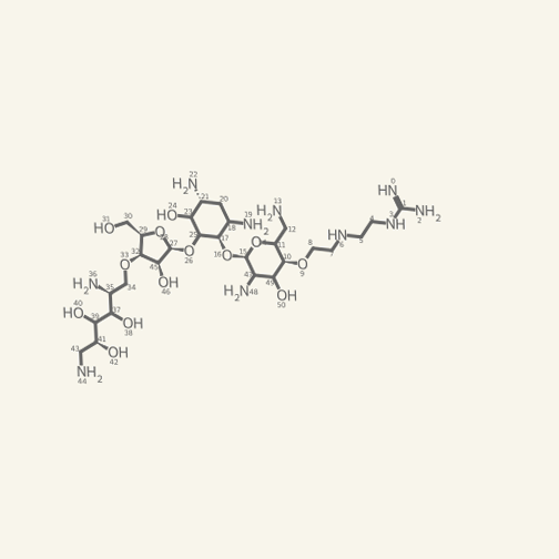 N=C(N)NCCNCCO[C@@H]1C(CN)O[C@H](O[C@@H]2C(N)C[C@@H](N)C(O)C2O[C@@H]2O[C@H](CO)[C@H](OC[C@H](N)C(O)C(O)[C@@H](O)CN)[C@@H]2O)C(N)C1O